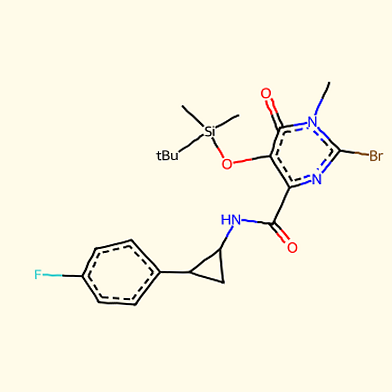 Cn1c(Br)nc(C(=O)NC2CC2c2ccc(F)cc2)c(O[Si](C)(C)C(C)(C)C)c1=O